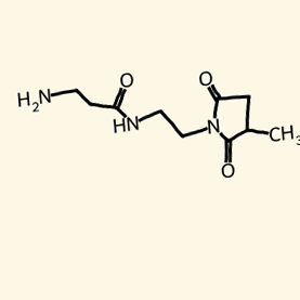 CC1CC(=O)N(CCNC(=O)CCN)C1=O